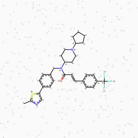 Cc1ncc(-c2ccc(CN(C(=O)C=Cc3ccc(C(F)(F)F)cc3)C3CCN(C4CCCC4)CC3)cc2)s1